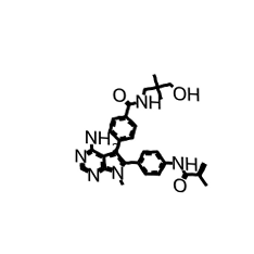 C=C(C)C(=O)Nc1ccc(-c2c(-c3ccc(C(=O)NCC(C)(C)CO)cc3)c3c(N)ncnc3n2C)cc1